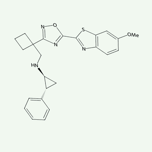 COc1ccc2nc(-c3nc(C4(CN[C@H]5C[C@@H]5c5ccccc5)CCC4)no3)sc2c1